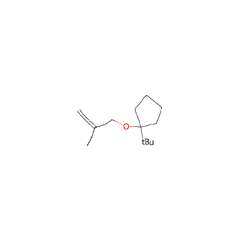 C=C(C)COC1(C(C)(C)C)CCCC1